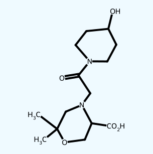 CC1(C)CN(CC(=O)N2CCC(O)CC2)C(C(=O)O)CO1